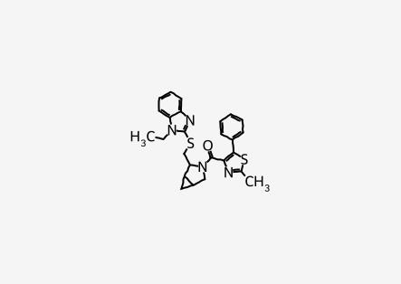 CCn1c(SCC2C3CC3CN2C(=O)c2nc(C)sc2-c2ccccc2)nc2ccccc21